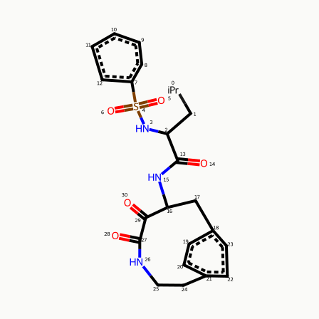 CC(C)CC(NS(=O)(=O)c1ccccc1)C(=O)NC1Cc2ccc(cc2)CCNC(=O)C1=O